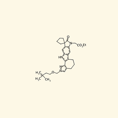 CCOC(=O)CN1C(=O)C2(CCCC2)c2cc3[nH]c4c(c3cc21)CCCc1cn(COCC[Si](C)(C)C)nc1-4